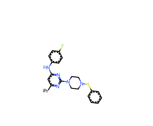 CC(C)c1cc(Nc2ccc(F)cc2)nc(N2CCN(Sc3ccccc3)CC2)n1